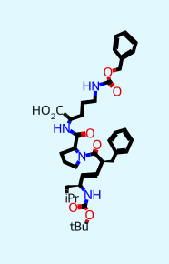 CC(C)C[C@@H](/C=C/[C@H](Cc1ccccc1)C(=O)N1CCCC1C(=O)NC(CCCNC(=O)OCc1ccccc1)C(=O)O)NC(=O)OC(C)(C)C